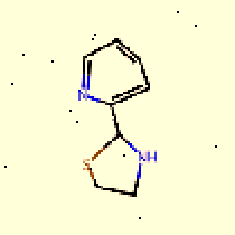 c1ccc(C2NCCS2)nc1